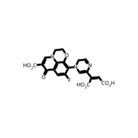 O=C(O)C=C(C(=O)O)C1=CN(c2c(F)cc3c(=O)c(C(=O)O)cn4c3c2OCC4)CC=N1